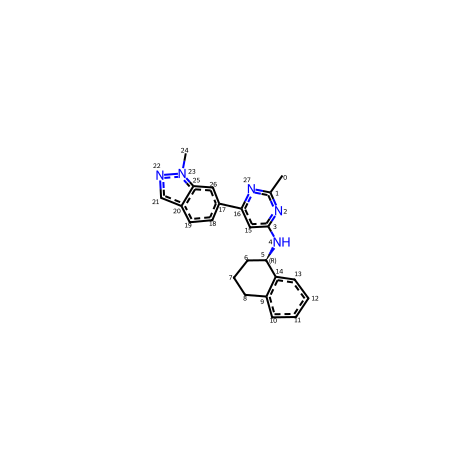 Cc1nc(N[C@@H]2CCCc3ccccc32)cc(-c2ccc3cnn(C)c3c2)n1